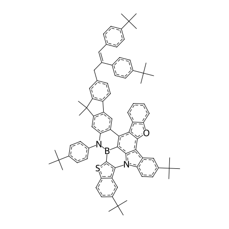 CC(C)(C)c1ccc(/C=C(/Cc2ccc3c(c2)C(C)(C)c2cc4c(cc2-3)-c2c3c5c(c6cc(C(C)(C)C)ccc6n5-c5c(sc6ccc(C(C)(C)C)cc56)B3N4c3ccc(C(C)(C)C)cc3)c3oc4ccccc4c23)c2ccc(C(C)(C)C)cc2)cc1